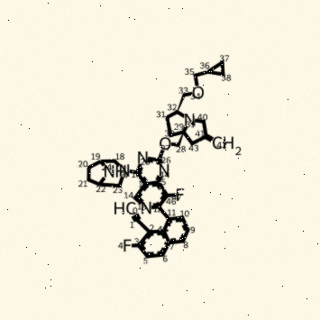 C#Cc1c(F)ccc2cccc(-c3ncc4c(N5CC6CCC(C5)N6)nc(OC[C@@]56CC[C@@H](COCC7CC7)N5CC(=C)C6)nc4c3F)c12